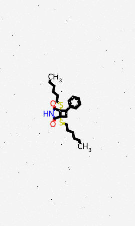 CCCCCCS[C@]12CC(c3ccccc3)[C@@]1(SCCCCCC)C(=O)NC2=O